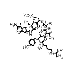 CC(C)C[C@@H](NC(=O)[C@@H](CCC(=O)O)NC(=O)[C@H](NC(=O)[C@H](NC(=O)[C@@H](Cc1ccc(O)cc1)NC(=O)[C@H](N)CCCNC(=N)N)[C@@H](C)O)C(C)C)C(=O)N[C@H]1CC(=O)N([C@H](C)C(N)=O)C1